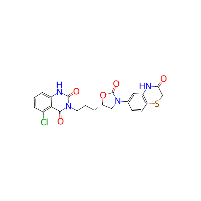 O=C1CSc2ccc(N3C[C@H](CCCn4c(=O)[nH]c5cccc(Cl)c5c4=O)OC3=O)cc2N1